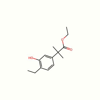 CCOC(=O)C(C)(C)c1ccc(CC)c(O)c1